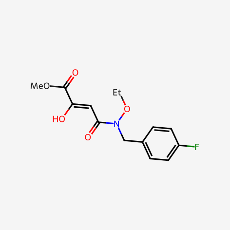 CCON(Cc1ccc(F)cc1)C(=O)/C=C(\O)C(=O)OC